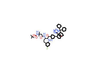 CC(C)(CC(=O)NC1CCc2cc(F)ccc2NC1C(=O)c1ccc(-c2ccccc2-c2nnnn2C(c2ccccc2)(c2ccccc2)c2ccccc2)cc1)NC(=O)OC(C)(C)C